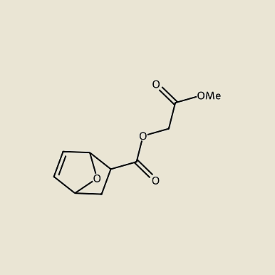 COC(=O)COC(=O)C1CC2C=CC1O2